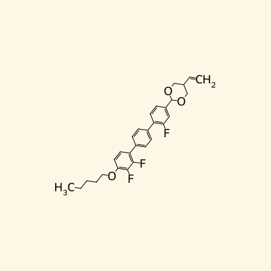 C=CC1COC(c2ccc(-c3ccc(-c4ccc(OCCCCC)c(F)c4F)cc3)c(F)c2)OC1